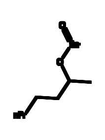 CCCCCC(C)[O][Sn]=[O]